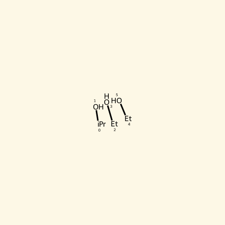 CC(C)O.CCO.CCO